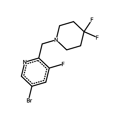 Fc1cc(Br)cnc1CN1CCC(F)(F)CC1